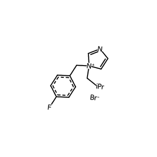 CC(C)C[N+]1(Cc2ccc(F)cc2)C=CN=C1.[Br-]